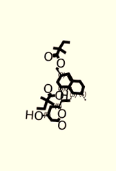 CCC(C)(C)C(=O)OC[C@H]1C=C2CC[C@H](C)[C@H](CC[C@@H]3C[C@@H](O)CC(=O)O3)[C@H]2[C@@H](OC(=O)C(C)(C)CC)C1